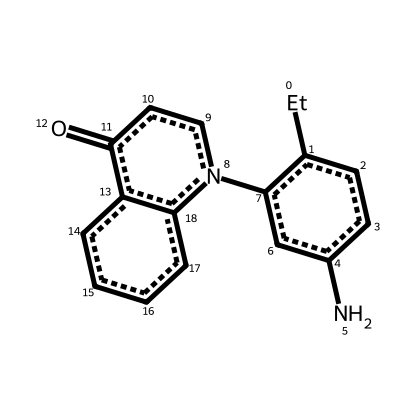 CCc1ccc(N)cc1-n1ccc(=O)c2ccccc21